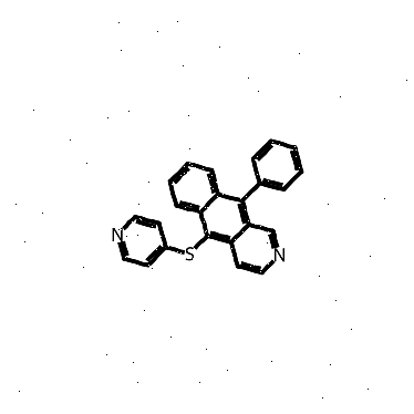 c1ccc(-c2c3ccccc3c(Sc3ccncc3)c3ccncc23)cc1